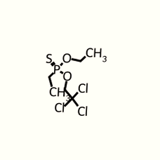 CCOP(=S)(CC)OCC(Cl)(Cl)Cl